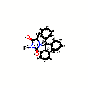 CC(C)C1C(=O)N(C(C)C)C(=O)N1[Si](c1ccccc1)(c1ccccc1)c1ccccc1